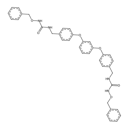 O=C(NCc1ccc(Oc2cccc(Oc3ccc(CNC(=O)NOCc4ccccc4)cc3)c2)cc1)NOCc1ccccc1